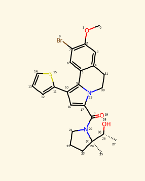 COc1cc2c(cc1Br)-c1c(-c3cccs3)cc(C(=O)N3CCC[C@]3(C)[C@@H](C)O)n1CC2